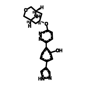 Oc1cc(-c2cn[nH]c2)ccc1-c1ccc(O[C@H]2C[C@H]3COC[C@@H](C2)N3)nn1